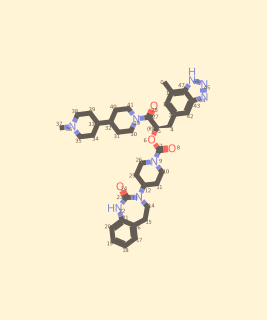 Cc1cc(C[C@@H](OC(=O)N2CCC(N3CCc4ccccc4NC3=O)CC2)C(=O)N2CCC(C3CCN(C)CC3)CC2)cc2nn[nH]c12